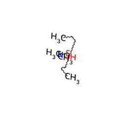 CCCCC/C=C\C/C=C\CCCCCCCCC(CCCCCCCC/C=C\C/C=C\CCCCC)SC(O)CCCN(C)C